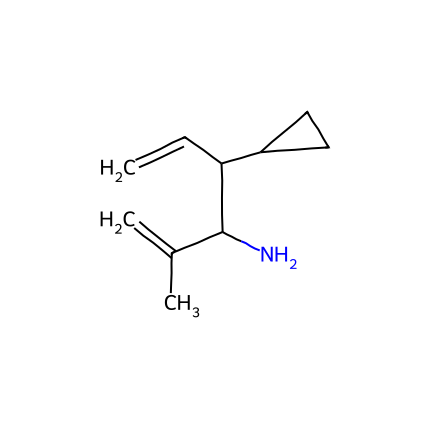 C=CC(C1CC1)C(N)C(=C)C